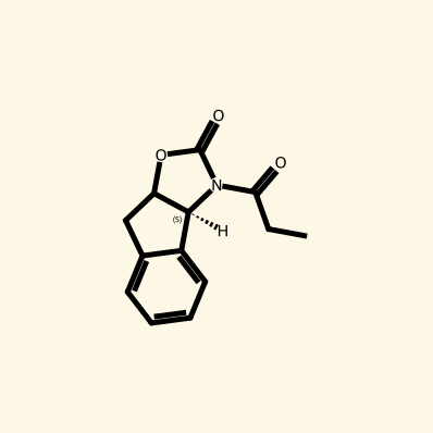 CCC(=O)N1C(=O)OC2Cc3ccccc3[C@@H]21